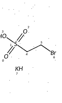 O=S(=O)(O)CCBr.[KH]